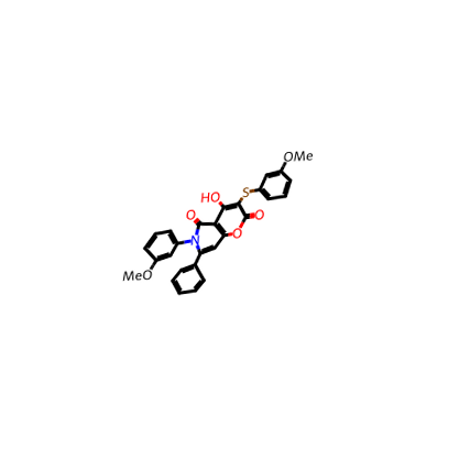 COc1cccc(Sc2c(O)c3c(=O)n(-c4cccc(OC)c4)c(-c4ccccc4)cc3oc2=O)c1